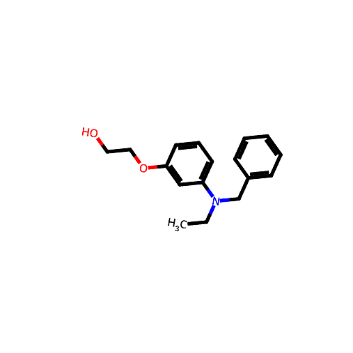 CCN(Cc1ccccc1)c1cccc(OCCO)c1